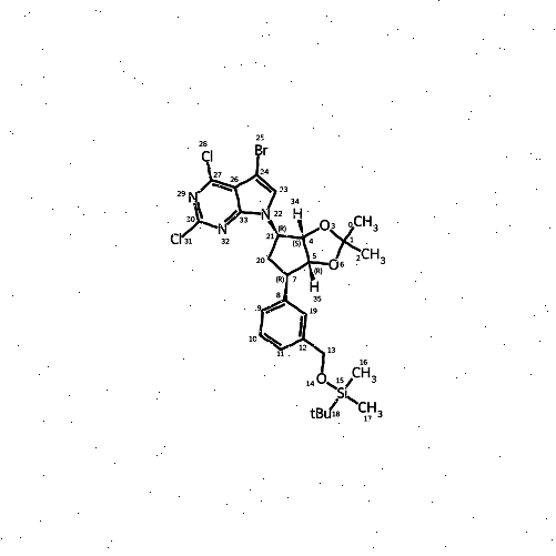 CC1(C)O[C@@H]2[C@H](O1)[C@@H](c1cccc(CO[Si](C)(C)C(C)(C)C)c1)C[C@H]2n1cc(Br)c2c(Cl)nc(Cl)nc21